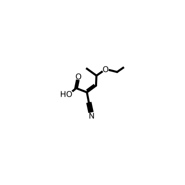 CCOC(C)C=C(C#N)C(=O)O